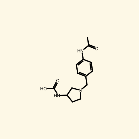 CC(=O)Nc1ccc(CN2CCC(NC(=O)O)C2)cc1